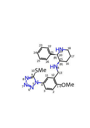 COc1ccc(-n2nnnc2SC)cc1CN[C@@H]1CCCN[C@@H]1c1ccccc1